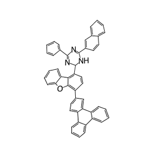 c1ccc(C2=NC(c3ccc(-c4ccc5c6ccccc6c6ccccc6c5c4)c4oc5ccccc5c34)NC(c3ccc4ccccc4c3)=N2)cc1